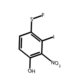 O=[N+]([O-])c1c(O)ccc(SF)c1I